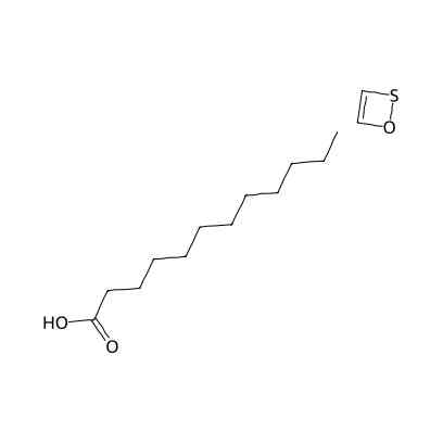 CCCCCCCCCCCC(=O)O.c1cso1